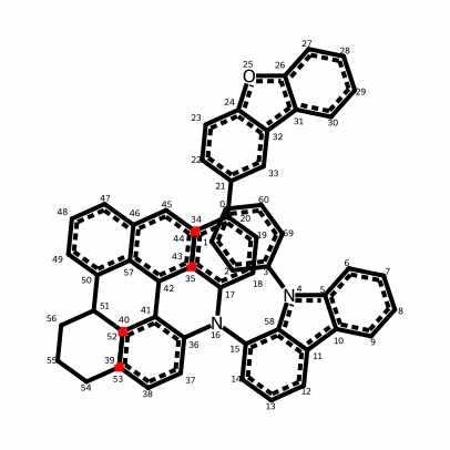 c1ccc(-n2c3ccccc3c3cccc(N(c4ccc(-c5ccc6oc7ccccc7c6c5)cc4)c4ccccc4-c4cccc5cccc(C6CCCCC6)c45)c32)cc1